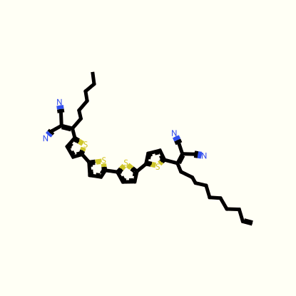 C=CCCCCCCCCC(=C(C#N)C#N)c1ccc(-c2ccc(-c3ccc(-c4ccc(C(CCCCCC)=C(C#N)C#N)s4)s3)s2)s1